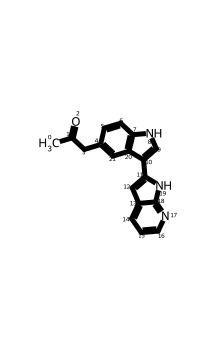 CC(=O)Cc1ccc2[nH]cc(-c3cc4cccnc4[nH]3)c2c1